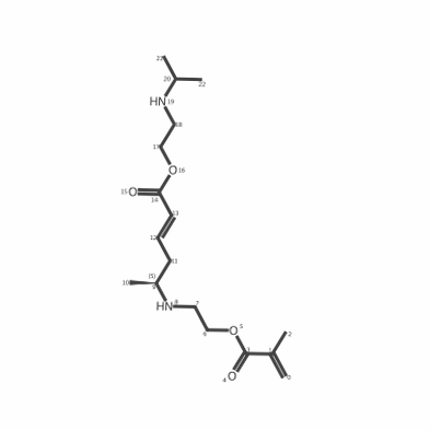 C=C(C)C(=O)OCCN[C@@H](C)CC=CC(=O)OCCNC(C)C